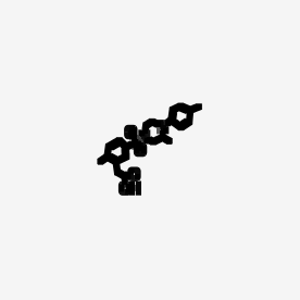 Cc1ccc(N2CCN(S(=O)(=O)c3ccc(C)c(CC(=O)O)c3)CC2C)cc1